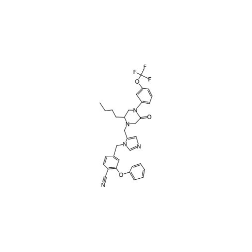 CCCCC1CN(c2cccc(OC(F)(F)F)c2)C(=O)CN1Cc1cncn1Cc1ccc(C#N)c(Oc2ccccc2)c1